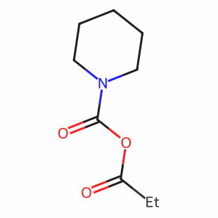 CCC(=O)OC(=O)N1CCCCC1